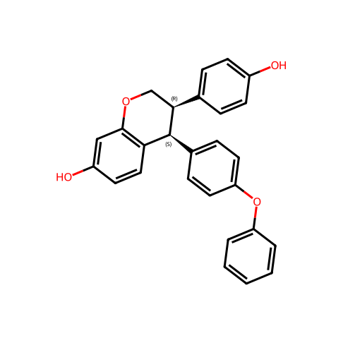 Oc1ccc([C@@H]2COc3cc(O)ccc3[C@@H]2c2ccc(Oc3ccccc3)cc2)cc1